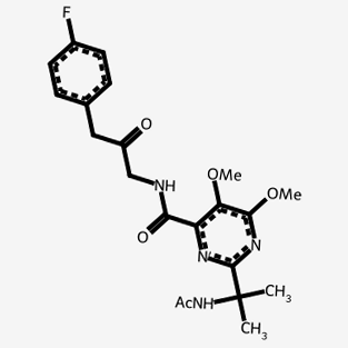 COc1nc(C(C)(C)NC(C)=O)nc(C(=O)NCC(=O)Cc2ccc(F)cc2)c1OC